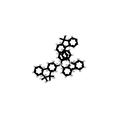 CC1(C)c2ccccc2-c2c1ccc1cc(N(c3ccc4c(c3)C(C)(C)C(C)(C)c3ccccc3-4)c3cccc4c5ccccc5n(-c5ccccc5)c34)ccc21